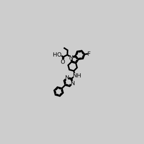 CCC(C(=O)O)n1c2c(c3cc(F)ccc31)CC(Nc1ncc(-c3ccccc3)cn1)CC2